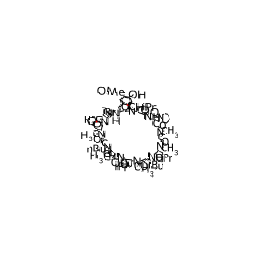 CCCCN1CC(=O)N(C)[C@@H](Cc2ccccc2)C(=O)N(C)[C@@H](CC(C)C)C(=O)N[C@@H](Cc2ccc(O)c(OC)c2)C(=O)N(C)[C@@H](CC(C)C)C(=O)N[C@H](C(=O)N2CCCCC2)CC(=O)N(C)CC(=O)N(C)[C@@H](CC(C)C)C(=O)N[C@@H]([C@@H](C)CC)C(=O)N(C)[C@@H](CC(C)C)C(=O)N[C@@H]([C@@H](C)O)C1=O